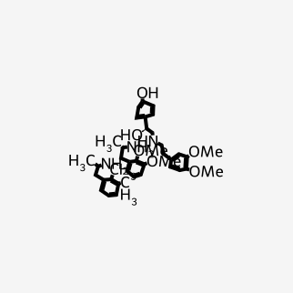 COc1ccc(CCNC[C@H](O)c2ccc(O)cc2)cc1OC.COc1cccc(CC(C)N)c1OC.Cc1cccc(CC(C)N)c1C